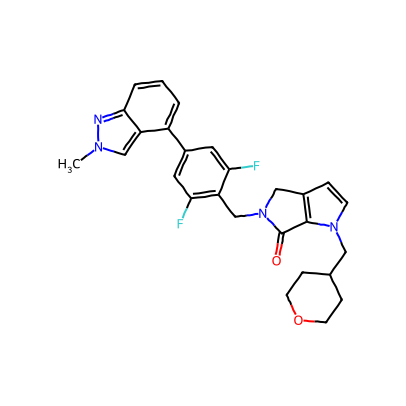 Cn1cc2c(-c3cc(F)c(CN4Cc5ccn(CC6CCOCC6)c5C4=O)c(F)c3)cccc2n1